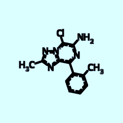 Cc1nc2c(-c3ccccc3C)nc(N)c(Cl)n2n1